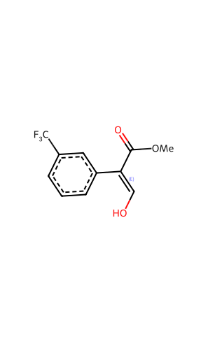 COC(=O)/C(=C/O)c1cccc(C(F)(F)F)c1